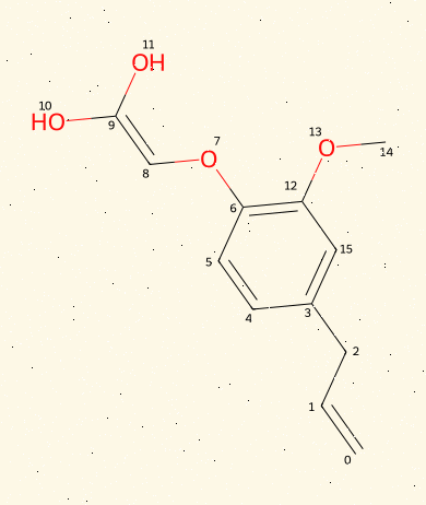 C=CCc1ccc(OC=C(O)O)c(OC)c1